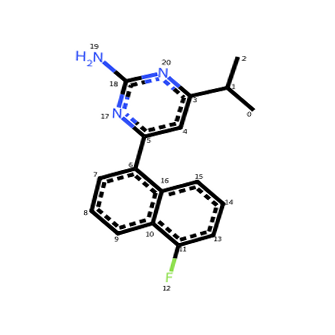 CC(C)c1cc(-c2cccc3c(F)cccc23)nc(N)n1